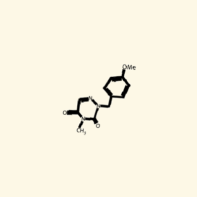 COc1ccc(Cn2ncc(=O)n(C)c2=O)cc1